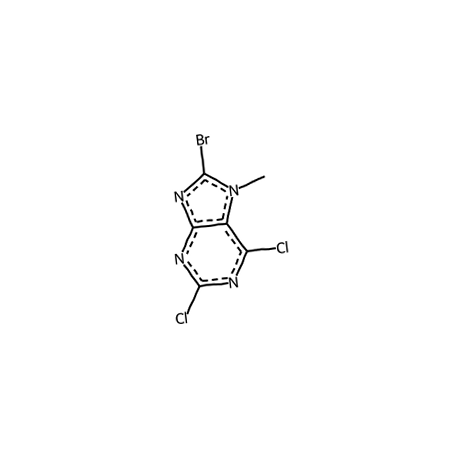 Cn1c(Br)nc2nc(Cl)nc(Cl)c21